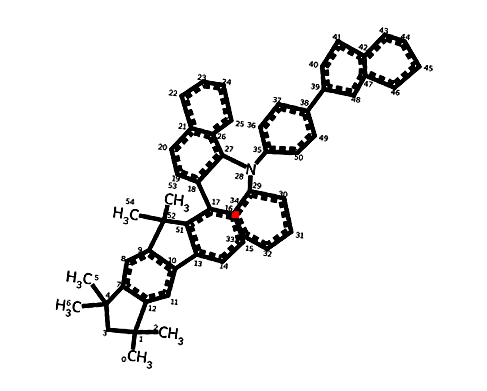 CC1(C)CC(C)(C)c2cc3c(cc21)-c1cccc(-c2ccc4ccccc4c2N(c2ccccc2)c2ccc(-c4ccc5ccccc5c4)cc2)c1C3(C)C